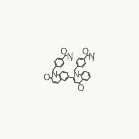 CN(C)C(=O)c1ccc(Cn2c(-c3ccc4c(ccc(=O)n4Cc4ccc(C(=O)N(C)C)cc4)c3)cc(=O)c3ccccc32)cc1